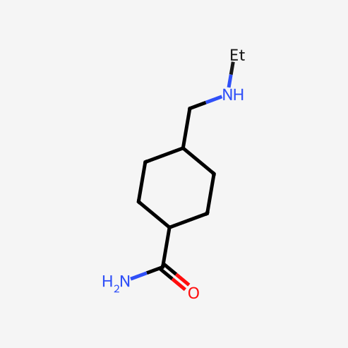 CCNCC1CCC(C(N)=O)CC1